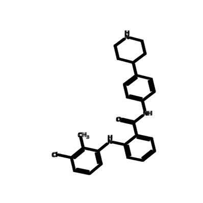 Cc1c(Cl)cccc1Nc1ccccc1C(=O)Nc1ccc(C2CCNCC2)cc1